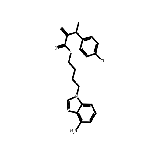 C=C(C(=O)OCCCCn1cnc2c(N)cccc21)C(C)c1ccc(Cl)cc1